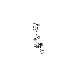 O=C(CCCCc1ccc2c(n1)NCCC2)NCCC(NS(=O)(=O)CCc1ccccc1)C(=O)O